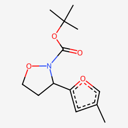 Cc1coc(C2CCON2C(=O)OC(C)(C)C)c1